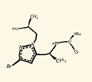 C[C@H](O)Cn1nc(Br)cc1[C@H](C)N[S@+]([O-])C(C)(C)C